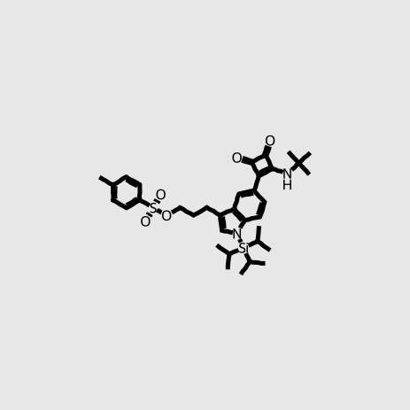 Cc1ccc(S(=O)(=O)OCCCc2cn([Si](C(C)C)(C(C)C)C(C)C)c3ccc(-c4c(NC(C)(C)C)c(=O)c4=O)cc23)cc1